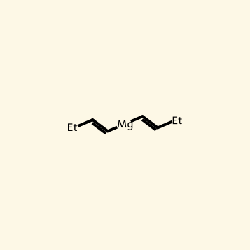 CC/C=[CH]/[Mg]/[CH]=C/CC